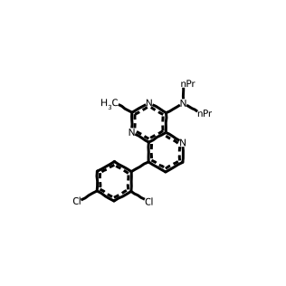 CCCN(CCC)c1nc(C)nc2c(-c3ccc(Cl)cc3Cl)ccnc12